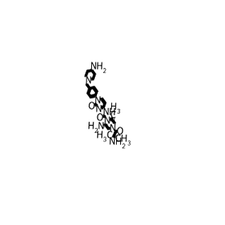 C[C@@H]1CN(C(=O)C(C)(C)N)C[C@H](N)N1C(=O)Nc1ccn(-c2ccc(CN3CCC(N)CC3)cc2)c(=O)n1